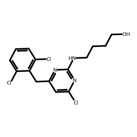 OCCCCNc1nc(Cl)cc(Cc2c(Cl)cccc2Cl)n1